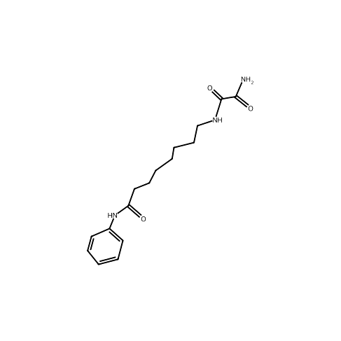 NC(=O)C(=O)NCCCCCCCC(=O)Nc1ccccc1